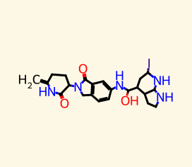 C=C1CCC(N2Cc3ccc(NC(O)C4CC(I)NC5NCCC54)cc3C2=O)C(=O)N1